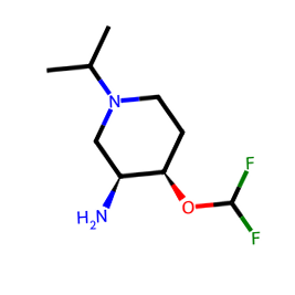 CC(C)N1CC[C@@H](OC(F)F)[C@@H](N)C1